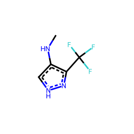 CNc1c[nH]nc1C(F)(F)F